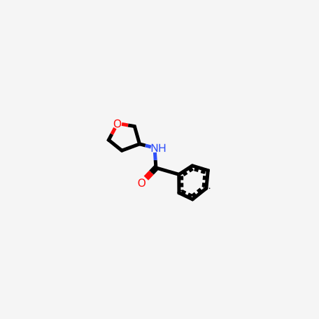 O=C(NC1CCOC1)c1cc[c]cc1